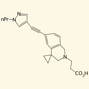 CCCn1cc(C#Cc2ccc3c(c2)C2(CC2)CN(CCC(=O)O)C3)cn1